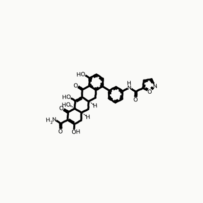 NC(=O)C1=C(O)C[C@@H]2C[C@@H]3Cc4c(-c5cccc(NC(=O)c6ccno6)c5)ccc(O)c4C(=O)C3=C(O)[C@]2(O)C1=O